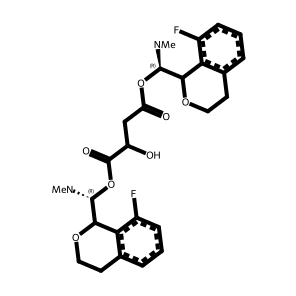 CN[C@H](OC(=O)CC(O)C(=O)O[C@@H](NC)C1OCCc2cccc(F)c21)C1OCCc2cccc(F)c21